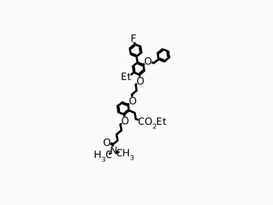 CCOC(=O)CCc1c(OCCCCC(=O)N(C)C)cccc1OCCCOc1cc(OCc2ccccc2)c(-c2ccc(F)cc2)cc1CC